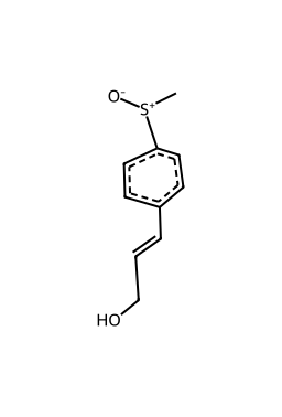 C[S+]([O-])c1ccc(C=CCO)cc1